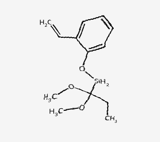 C=Cc1ccccc1O[SiH2]C(CC)(OC)OC